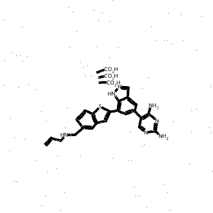 C=CCNCc1ccc2sc(-c3cc(-c4cnc(N)nc4N)cc4cn[nH]c34)cc2c1.CC(=O)O.CC(=O)O.CC(=O)O